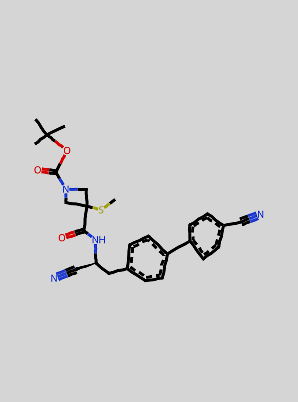 CSC1(C(=O)N[C@H](C#N)Cc2ccc(-c3ccc(C#N)cc3)cc2)CN(C(=O)OC(C)(C)C)C1